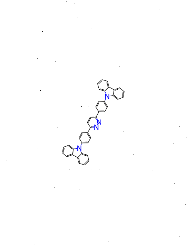 c1ccc2c(c1)c1ccccc1n2-c1ccc(-c2ccc(-c3ccc(-n4c5ccccc5c5ccccc54)cc3)nn2)cc1